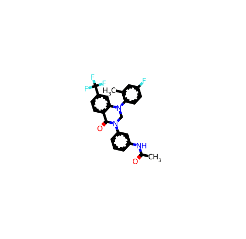 CC(=O)Nc1cccc(N2CN(c3ccc(F)cc3C)c3cc(C(F)(F)F)ccc3C2=O)c1